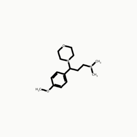 COc1ccc(C(CCN(C)C)N2CCOCC2)cc1